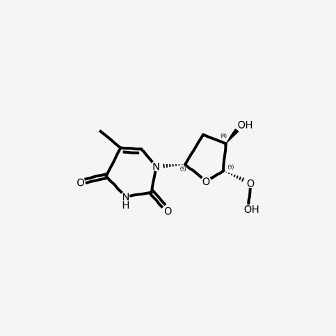 Cc1cn([C@@H]2C[C@@H](O)[C@H](OO)O2)c(=O)[nH]c1=O